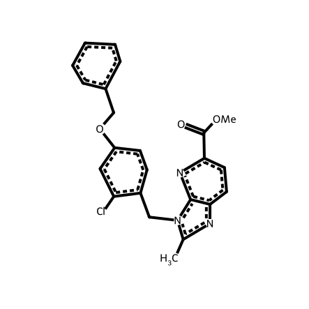 COC(=O)c1ccc2nc(C)n(Cc3ccc(OCc4ccccc4)cc3Cl)c2n1